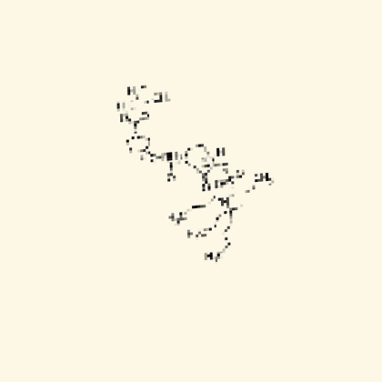 CCCCN(OS(=O)(=O)ON1C(=O)N2C[C@H]1CC[C@H]2C(=O)NO[C@H]1CCN(C(=O)OC(C)(C)C)C1)C(CCC)(CCCC)CCCC